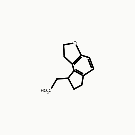 O=C(O)CC1CCc2ccc3c(c21)CCO3